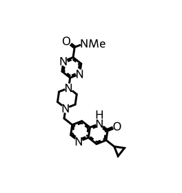 CNC(=O)c1cnc(N2CCN(Cc3cnc4cc(C5CC5)c(=O)[nH]c4c3)CC2)cn1